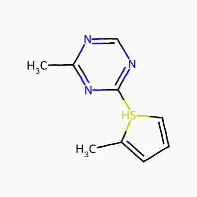 CC1=CC=C[SH]1c1ncnc(C)n1